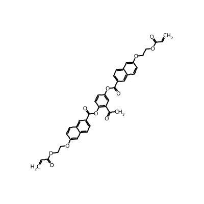 C=CC(=O)OCCOc1ccc2cc(C(=O)Oc3ccc(OC(=O)c4ccc5cc(OCCOC(=O)C=C)ccc5c4)c(C(C)=O)c3)ccc2c1